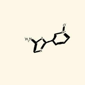 Nc1cnc(-c2ccc[n+]([O-])c2)s1